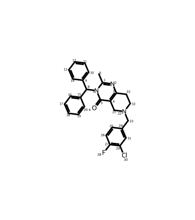 Cc1nc2c(c(=O)n1C(c1ccccc1)c1ccccc1)CN(Cc1ccc(F)c(Cl)c1)CC2